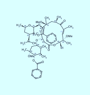 CC[C@H]1OC(=O)[C@H](C)[C@H](O[C@H]2C[C@@](C)(OC)[C@@H](OC(=O)c3ccccc3)[C@H](C)O2)[C@H](C)[C@@H](O[C@@H]2O[C@H](C)C[C@H](N(C)C)[C@H]2OC(=O)c2ccccc2)[C@@](C)(OC)C[C@@H](C)C(=O)/C(C)=C/[C@]1(C)OC